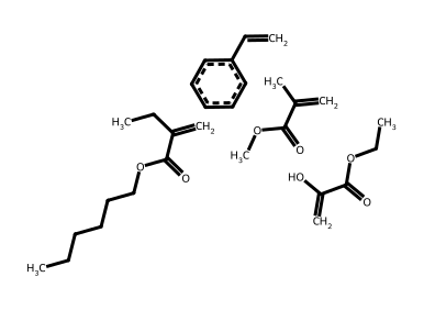 C=C(C)C(=O)OC.C=C(CC)C(=O)OCCCCCC.C=C(O)C(=O)OCC.C=Cc1ccccc1